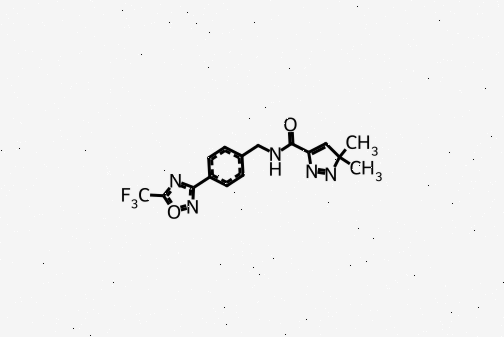 CC1(C)C=C(C(=O)NCc2ccc(-c3noc(C(F)(F)F)n3)cc2)N=N1